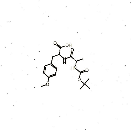 COc1ccc(CC(NC(=O)C(C)NC(=O)OC(C)(C)C)C(=O)O)cc1